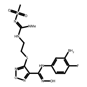 Bc1cc(N/C(=N\O)c2nonc2SCCN/C(=N/S(C)(=O)=O)NC)ccc1F